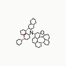 c1ccc(-c2ccc(N(c3cc4ccccc4cc3-c3ccccc3)c3cc4oc5ccc6cccc7c6c5c4c4c3ccc3cccc-7c34)cc2)cc1